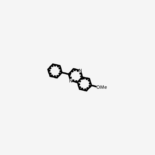 COc1ccc2nc(-c3ccccc3)cnc2c1